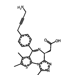 Cc1sc2c(c1C)C(c1ccc(CC#CCN)cc1)=N[C@@H](CC(=O)O)c1nnc(C)n1-2